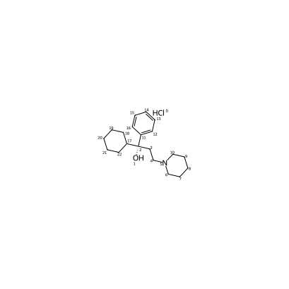 Cl.O[C@@](CCN1CCCCC1)(c1ccccc1)C1CCCCC1